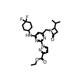 CCOC(=O)c1ccn(-c2nc(CN3C(=O)CC3C(C)C)cc(NC3CCC(F)(F)CC3)n2)n1